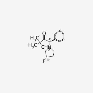 CC(C)(C)C(=O)[C@@H](c1ccccc1)N1CC[C@H](F)C1